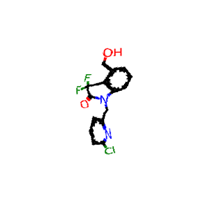 O=C1N(Cc2cccc(Cl)n2)c2cccc(CO)c2C1(F)F